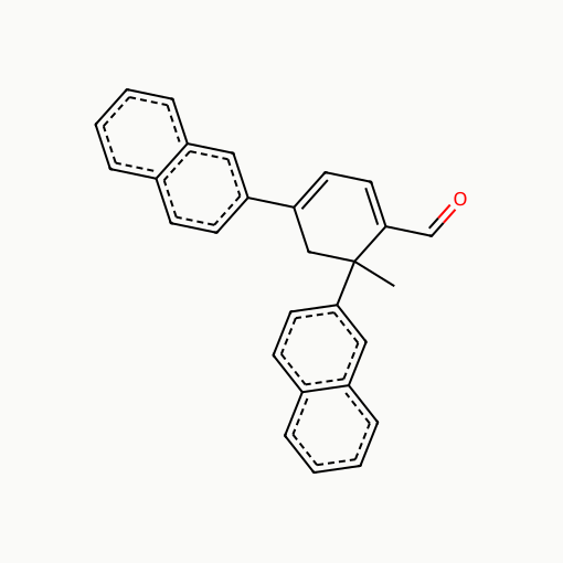 CC1(c2ccc3ccccc3c2)CC(c2ccc3ccccc3c2)=CC=C1C=O